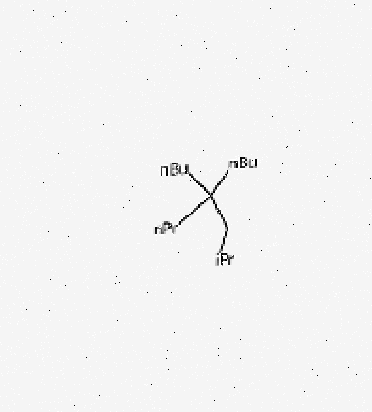 CCCCC(CCC)(CCCC)CC(C)C